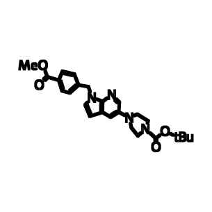 COC(=O)c1ccc(Cn2ccc3cc(N4CCN(C(=O)OC(C)(C)C)CC4)cnc32)cc1